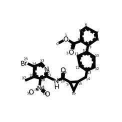 COC(=O)c1ccccc1-c1ccc(CC2CC2C(=O)Nc2ncc(Br)c(C)c2[N+](=O)[O-])cc1